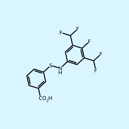 O=C(O)c1cccc(SNc2cc(C(F)F)c(F)c(C(F)F)c2)c1